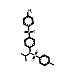 Cc1ccc(S(=O)(=O)N(c2ccc(S(=O)(=O)c3ccc(N)cc3)cc2)C(C)C)cc1